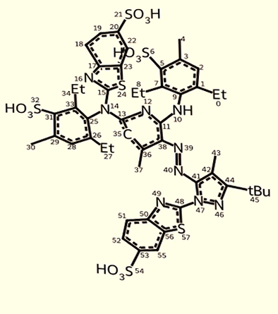 CCc1cc(C)c(S(=O)(=O)O)c(CC)c1Nc1nc(N(c2nc3ccc(S(=O)(=O)O)cc3s2)c2c(CC)cc(C)c(S(=O)(=O)O)c2CC)cc(C)c1N=Nc1c(C)c(C(C)(C)C)nn1-c1nc2ccc(S(=O)(=O)O)cc2s1